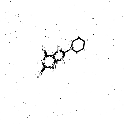 O=c1[nH]c(=O)c2[nH]c(N3CCCCC3)nc2[nH]1